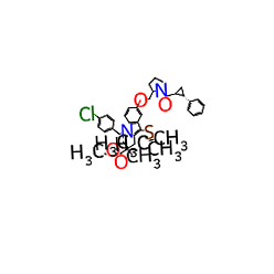 CCOC(=O)C(C)(C)Cc1c(SC(C)(C)C)c2cc(OCC3CCCN3C(=O)[C@H]3C[C@@H]3c3ccccc3)ccc2n1Cc1ccc(Cl)cc1